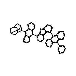 c1ccc(-c2c3ccccc3c(-c3cccc4sc5c(-c6c7ccccc7c(C7C8CC9CC(C8)CC7C9)c7ccccc67)cccc5c34)c3ccccc23)cc1